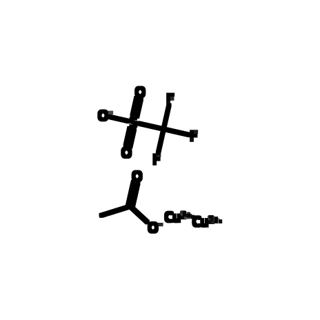 CC(=O)[O-].O=S(=O)([O-])C(F)(F)F.[Cu+2].[Cu+2]